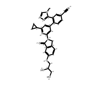 Cn1cnnc1-c1cc(C#N)ccc1-c1cc(C2CC2)nc(N2Cc3ccc(OCC(O)CO)cc3C2=O)c1